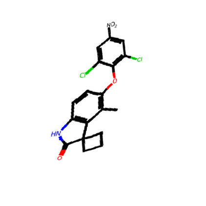 Cc1c(Oc2c(Cl)cc([N+](=O)[O-])cc2Cl)ccc2c1C1(CCC1)C(=O)N2